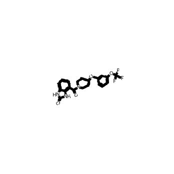 O=C(c1cccc2[nH]c(=O)[nH]c12)N1CCC(Oc2cccc(OC(F)(F)F)c2)CC1